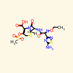 CCON=C(C(=O)NC1C(=O)N2C(C(=O)O)=C(OS(C)(=O)=O)CS[C@@H]12)c1nsc(N)n1